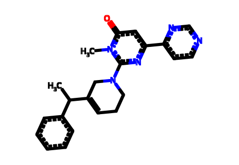 CC(C1=CCCN(c2nc(-c3ccncn3)cc(=O)n2C)C1)c1ccccc1